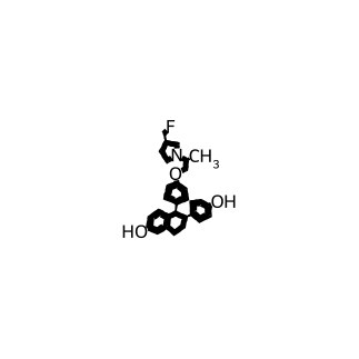 C[C@@H](COc1ccc([C@@H]2c3ccc(O)cc3CC[C@@H]2c2ccc(O)cc2)cc1)N1CC[C@@H](CF)C1